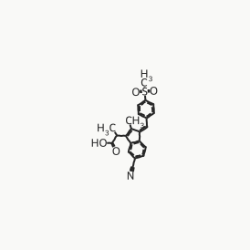 CC1=C(C(C)C(=O)O)c2cc(C#N)ccc2/C1=C/c1ccc(S(C)(=O)=O)cc1